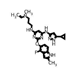 C=CN(C)CCCNc1cc(Nc2cc(C3CC3)[nH]n2)nc(Oc2ccc3[nH]c(C)cc3c2F)n1